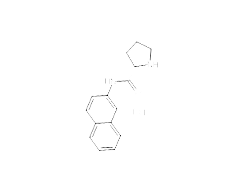 Cl.O=C(Nc1ccc2ccccc2c1)[C@@H]1CCCN1